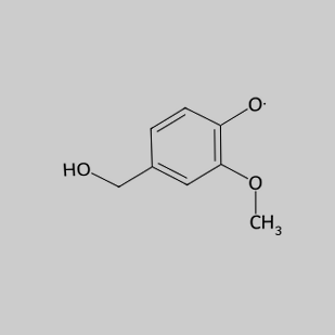 COc1cc(CO)ccc1[O]